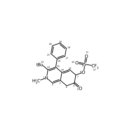 CN1C=C2CC(=O)C(OS(=O)(=O)C(F)(F)F)C=C2C(c2ccccc2)=C1C(C)(C)C